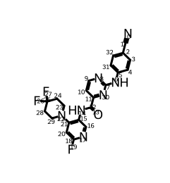 N#Cc1ccc(Nc2nccc(C(=O)Nc3cnc(F)cc3N3CCC(F)(F)CC3)n2)cc1